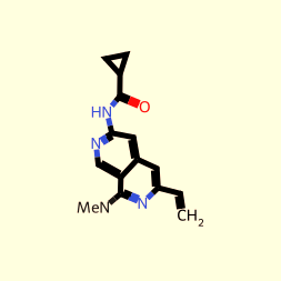 C=Cc1cc2cc(NC(=O)C3CC3)ncc2c(NC)n1